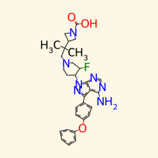 CC(C)(CN1CCC(n2nc(-c3ccc(Oc4ccccc4)cc3)c3c(N)ncnc32)C(F)C1)C1CN(C(=O)O)C1